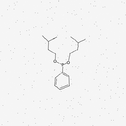 CC(C)CCOP(OCCC(C)C)c1ccccc1